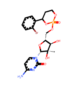 C[C@@]1(O)[C@H](O)[C@@H](COP2(=O)OCCC(c3ccccc3Br)O2)O[C@H]1n1ccc(N)nc1=O